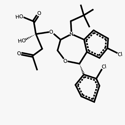 CC(=O)C[C@](O)(OC1CO[C@@H](c2ccccc2Cl)c2cc(Cl)ccc2N1CC(C)(C)C)C(=O)O